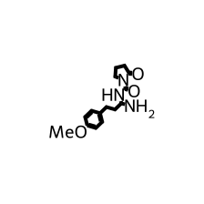 COc1ccc(CCC(N)NC(=O)N2CCCC2=O)cc1